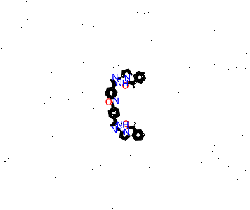 C[C@@H](C(=O)N1CCC[C@H]1c1ncc(-c2ccc(-c3nc4cc(-c5cnc([C@@H]6CCCN6C(=O)[C@H](C)c6ccccc6)[nH]5)ccc4o3)cc2)[nH]1)c1ccccc1